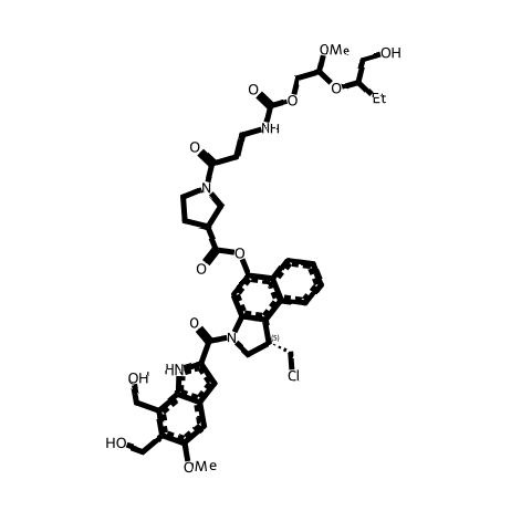 CCC(CO)OC(COC(=O)NCCC(=O)N1CCC(C(=O)Oc2cc3c(c4ccccc24)[C@H](CCl)CN3C(=O)c2cc3cc(OC)c(CO)c(CO)c3[nH]2)C1)OC